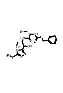 CC(C)C[C@H](NC(=O)OCc1ccccc1)C(=O)N[C@@H](CC(C)C)C(O)c1nnc(SC(C)C)o1